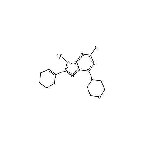 Cn1c(C2=CCCCC2)nc2c(N3CCOCC3)nc(Cl)nc21